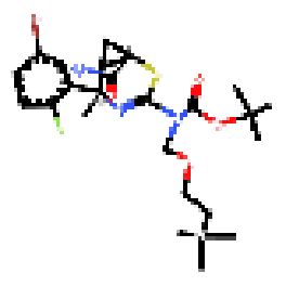 CC(C)(C)OC(=O)N(COCC[Si](C)(C)C)C1=N[C@](C)(c2cc(Br)ccc2F)C2C[C@]2(C(N)=O)S1